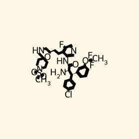 CC(F)(F)Oc1cccc([C@H](c2ccc(Cl)cc2)[C@H](N)C(=O)Nc2cncc(F)c2CC[C@@H]2CNCC3(CCN(S(C)(=O)=O)CC3)O2)c1